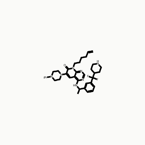 C=CCCCCn1c(=O)c(N2CCN(C(C)C)CC2)cc2c(NC(C)c3cccc(C(F)(F)C4CCNCC4)c3)ncnc21